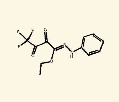 CCOC(=NNc1ccccc1)C(=O)C(=O)C(F)(F)F